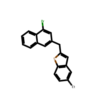 CCc1ccc2sc(Cc3cc(Br)c4ccccc4c3)cc2c1